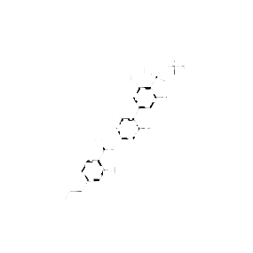 CCCc1ccc(C(=O)Oc2cc(F)c(-c3cc(F)c(C(F)(F)OC(F)(F)F)c(F)c3)c(F)c2)c(F)c1